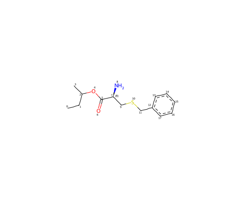 CCC(C)OC(=O)[C@@H](N)CSCc1ccccc1